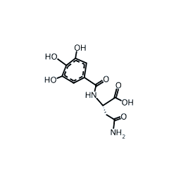 NC(=O)C[C@H](NC(=O)c1cc(O)c(O)c(O)c1)C(=O)O